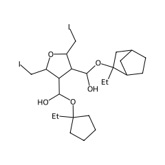 CCC1(OC(O)C2C(CI)OC(CI)C2C(O)OC2(CC)CC3CCC2C3)CCCC1